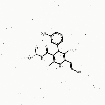 CCOC(=O)C1=C(C=NO)NC(C)=C(C(=O)N[C@H](C(=O)OCC)C(C)C)C1c1cccc([N+](=O)[O-])c1